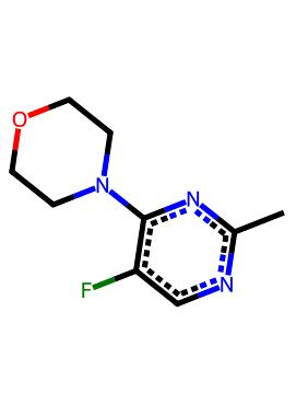 Cc1ncc(F)c(N2CCOCC2)n1